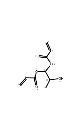 C=CC(=O)OC(OC(=O)C=C)C(C)O